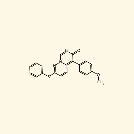 COc1ccc(-c2c(=O)ncn3nc(Sc4ccccc4)ccc23)cc1